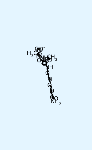 CC(=O)Nc1cc(NCCOCCOCCOCCOCCOC(N)=O)ccc1C(=O)Nc1nc(C)c([N+](=O)[O-])s1